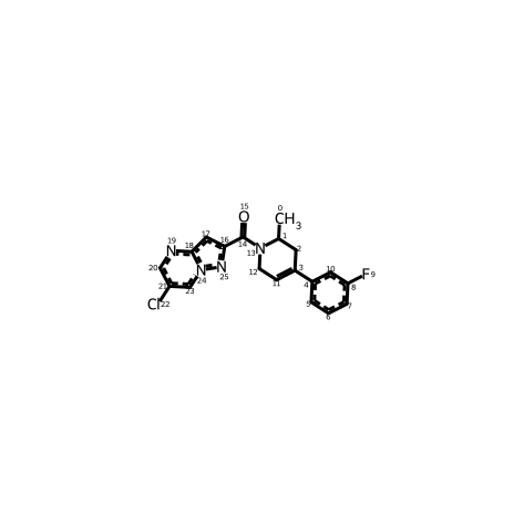 CC1CC(c2cccc(F)c2)=CCN1C(=O)c1cc2ncc(Cl)cn2n1